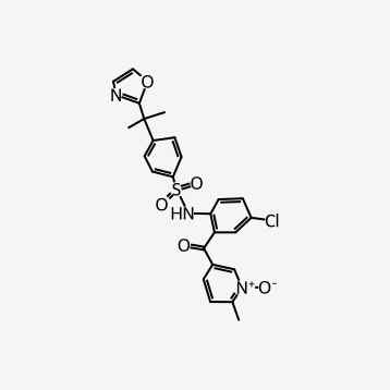 Cc1ccc(C(=O)c2cc(Cl)ccc2NS(=O)(=O)c2ccc(C(C)(C)c3ncco3)cc2)c[n+]1[O-]